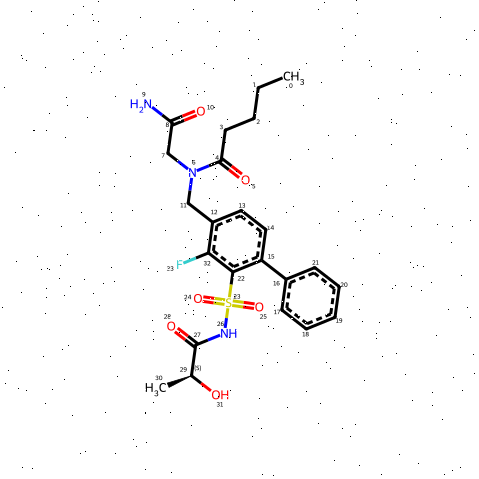 CCCCC(=O)N(CC(N)=O)Cc1ccc(-c2ccccc2)c(S(=O)(=O)NC(=O)[C@H](C)O)c1F